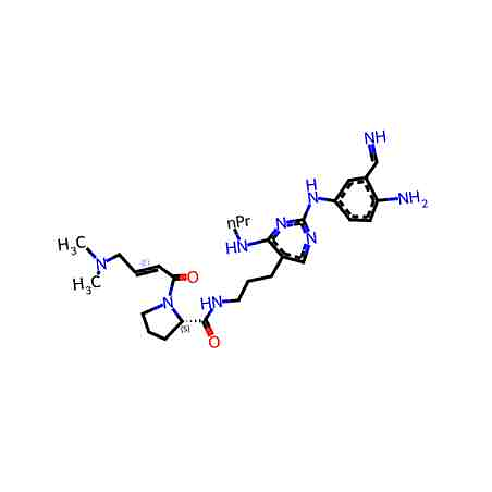 CCCNc1nc(Nc2ccc(N)c(C=N)c2)ncc1CCCNC(=O)[C@@H]1CCCN1C(=O)/C=C/CN(C)C